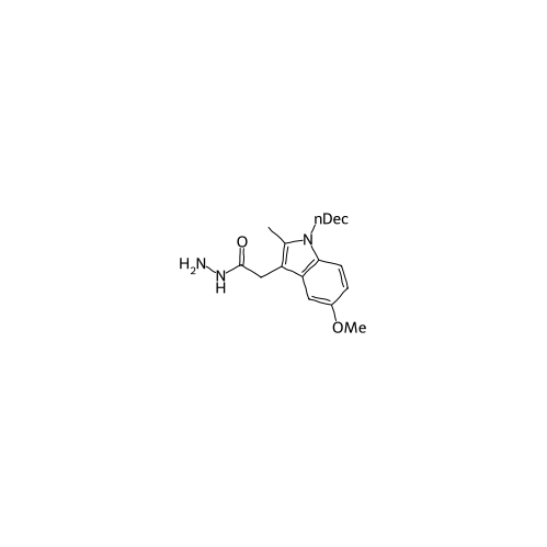 CCCCCCCCCCn1c(C)c(CC(=O)NN)c2cc(OC)ccc21